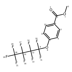 COC(=O)c1ccc(OC(F)(F)C(F)(F)C(F)(F)C(F)(F)F)cc1